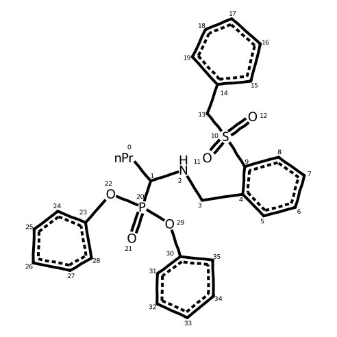 CCCC(NCc1ccccc1S(=O)(=O)Cc1ccccc1)P(=O)(Oc1ccccc1)Oc1ccccc1